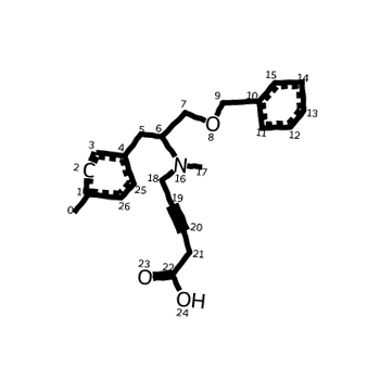 Cc1ccc(CC(COCc2ccccc2)N(C)CC#CCC(=O)O)cc1